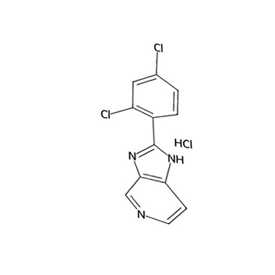 Cl.Clc1ccc(-c2nc3cnccc3[nH]2)c(Cl)c1